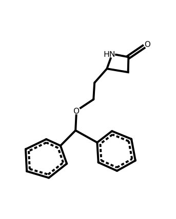 O=C1CC(CCOC(c2ccccc2)c2ccccc2)N1